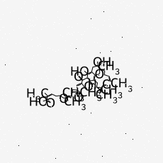 CC(C)=CCC[C@@]1(C)Oc2c(c(O)c3c(c2CC=C(C)C)OC(C)/C(=C\C(C=O)CCC(C)(C)OCC/C=C(/C)C(=O)O)C3=O)C[C@H]1O